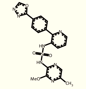 COc1nc(C)cnc1NS(=O)(=O)Nc1cccnc1-c1ccc(-c2nnco2)cc1